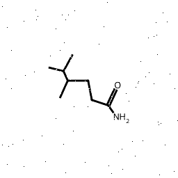 CC(C)C(C)CCC(N)=O